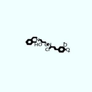 COc1ccc(C=CC(Cl)=NOCC(O)CN2CCc3ccccc3C2)cc1OC